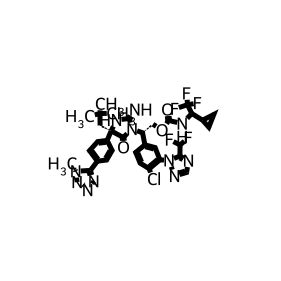 Cn1nnnc1-c1ccc([C@@]2(CC(C)(C)C)NC(=N)N([C@H](COC(=O)NC(C3CC3)C(F)(F)F)c3ccc(Cl)c(-n4ncnc4C(F)F)c3)C2=O)cc1